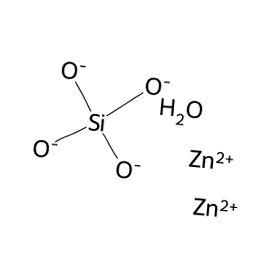 O.[O-][Si]([O-])([O-])[O-].[Zn+2].[Zn+2]